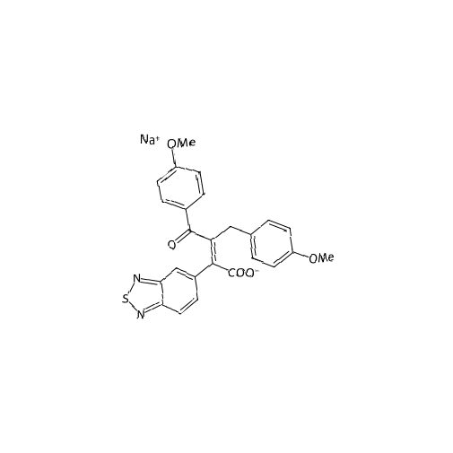 COc1ccc(CC(C(=O)c2ccc(OC)cc2)=C(C(=O)[O-])c2ccc3nsnc3c2)cc1.[Na+]